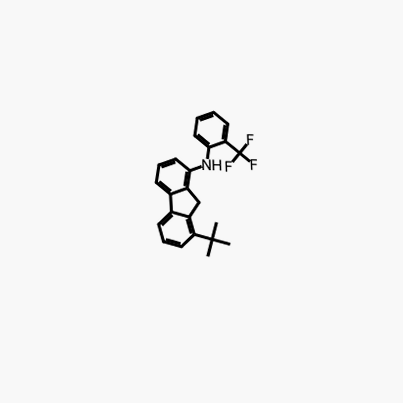 CC(C)(C)c1cccc2c1Cc1c(Nc3ccccc3C(F)(F)F)cccc1-2